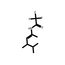 C/C(=C\C(C)C(C)C)NC(=O)C(F)(F)F